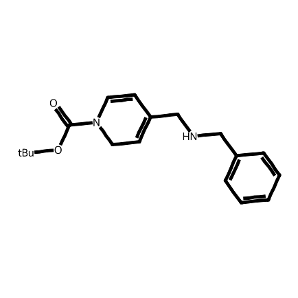 CC(C)(C)OC(=O)N1C=CC(CNCc2ccccc2)=CC1